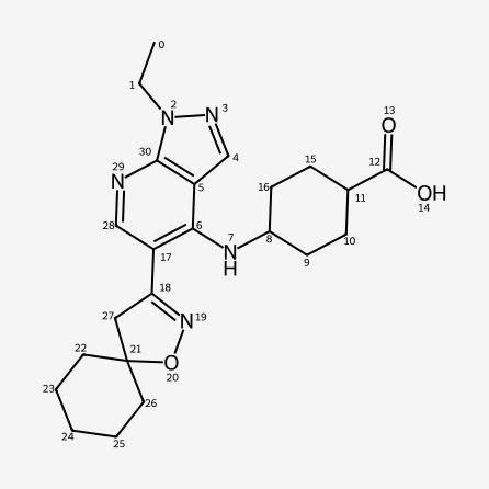 CCn1ncc2c(NC3CCC(C(=O)O)CC3)c(C3=NOC4(CCCCC4)C3)cnc21